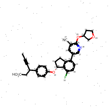 CC#CC(CC(=O)O)c1ccc(O[C@@H]2CCc3c(-c4cnc(OC5CCOC5)c(C#N)c4)ccc(F)c32)cc1